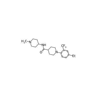 CCc1ccc(N2CCC(C(=O)NC3CCN(C)CC3)CC2)c(C(F)(F)F)c1